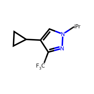 CC(C)n1cc(C2CC2)c(C(F)(F)F)n1